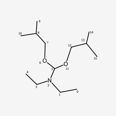 CCN(CC)C(OCC(C)C)OCC(C)C